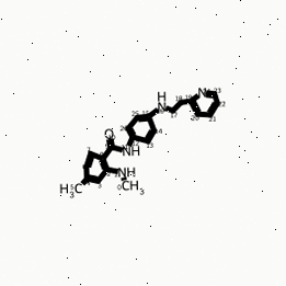 CNc1cc(C)ccc1C(=O)Nc1ccc(NCCc2ccccn2)cc1